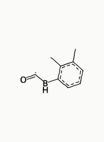 Cc1cccc(B[C]=O)c1C